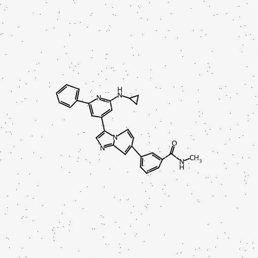 CNC(=O)c1cccc(-c2ccn3c(-c4cc(NC5CC5)nc(-c5ccccc5)c4)cnc3c2)c1